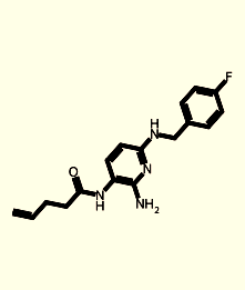 C=CCCC(=O)Nc1ccc(NCc2ccc(F)cc2)nc1N